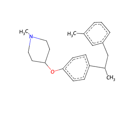 Cc1cccc(CC(C)c2ccc(OC3CCN(C)CC3)cc2)c1